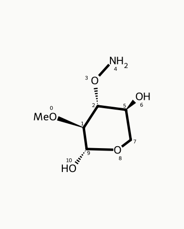 CO[C@H]1[C@H](ON)[C@@H](O)CO[C@@H]1O